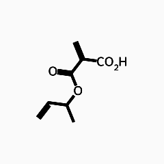 C=CC(C)OC(=O)C(=C)C(=O)O